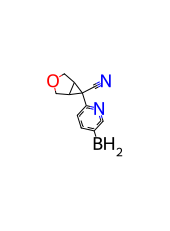 Bc1ccc(C2(C#N)C3COCC32)nc1